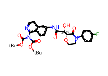 CC(C)(C)OC(=O)N(C(=O)OC(C)(C)C)c1nccc2cc(NC(=O)[C@H](O)[C@H]3OCCN(c4ccc(F)cc4)C3=O)ccc12